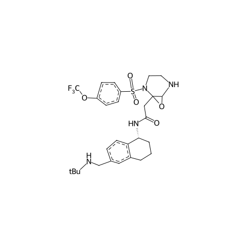 CC(C)(C)NCc1ccc2c(c1)CCC[C@H]2NC(=O)CC12OC1NCCN2S(=O)(=O)c1ccc(OC(F)(F)F)cc1